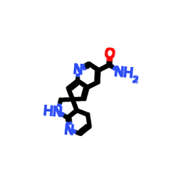 NC(=O)c1cnc2c(c1)=CC1(C=2)CNC2=NC=CCC21